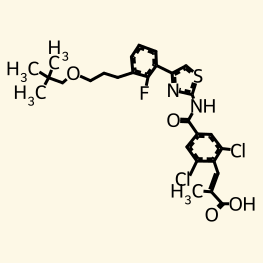 CC(=Cc1c(Cl)cc(C(=O)Nc2nc(-c3cccc(CCCOCC(C)(C)C)c3F)cs2)cc1Cl)C(=O)O